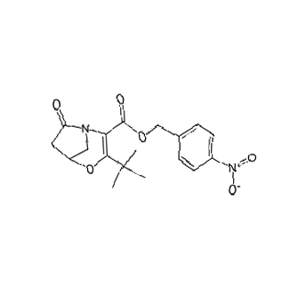 CC(C)(C)C1=C(C(=O)OCc2ccc([N+](=O)[O-])cc2)N2CC(CC2=O)O1